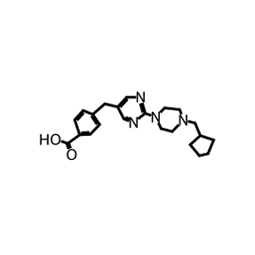 O=C(O)c1ccc(Cc2cnc(N3CCN(CC4CCCC4)CC3)nc2)cc1